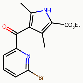 CCOC(=O)c1[nH]c(C)c(C(=O)c2cccc(Br)n2)c1C